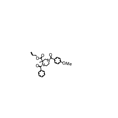 C=CCOC(=O)C1(C)CN(C(=O)c2ccc(OC)cc2)CCN1C(=O)c1ccccc1